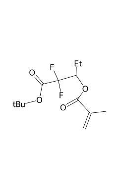 C=C(C)C(=O)OC(CC)C(F)(F)C(=O)OC(C)(C)C